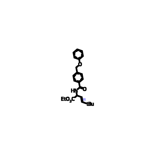 CCOC(=O)C(/C=C/C(C)(C)C)NC(=O)c1ccc(COc2ccccc2)cc1